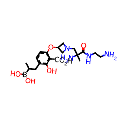 CC(Cc1ccc(OC2CN(CC(C)(N)C(=O)NCCN)C2)c(C(=O)O)c1O)B(O)O